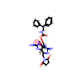 N=C1N[C@H]2C(CN3C(=O)CCC3=O)NC(=N)N3CC(OC(=O)NCC(c4ccccc4)c4ccccc4)C(O)(O)[C@]23N1